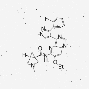 CCOc1cc2ncnc(-c3cn(C)nc3-c3ccccc3F)c2nc1NC(=O)[C@]12C[C@H]1CN(C)C2